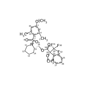 COc1cc(C)c(S(=O)(=O)N2CCCC[C@H]2COC(=O)[C@](OC)(c2ccccc2)C(F)(F)F)c(C)c1